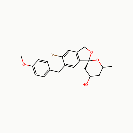 COc1ccc(Cc2cc3c(cc2Br)CO[C@@]32CC(O)CC(C)O2)cc1